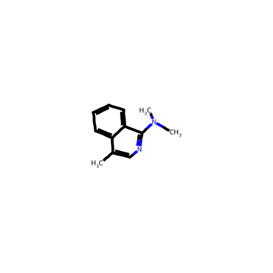 Cc1cnc(N(C)C)c2ccccc12